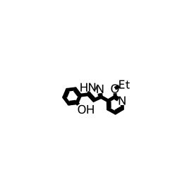 CCOc1ncccc1-c1cc(-c2ccccc2O)[nH]n1